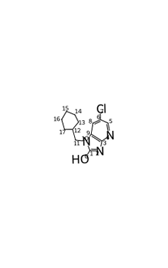 Oc1nc2ncc(Cl)cc2n1CC1CCCCC1